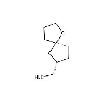 CC[C@H]1CC[C@@]2(CCCO2)O1